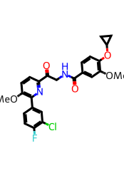 COc1cc(C(=O)NCC(=O)c2ccc(OC)c(-c3ccc(F)c(Cl)c3)n2)ccc1OC1CC1